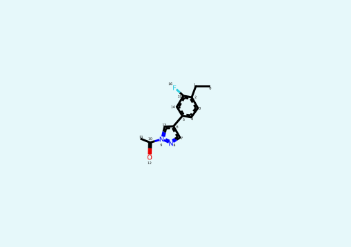 CCc1ccc(-c2cnn(C(C)=O)c2)cc1F